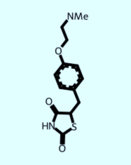 CNCCOc1ccc(CC2SC(=O)NC2=O)cc1